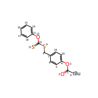 CC(C)(C)C(=O)Oc1ccc(CSC(=S)Oc2ccccc2)cc1